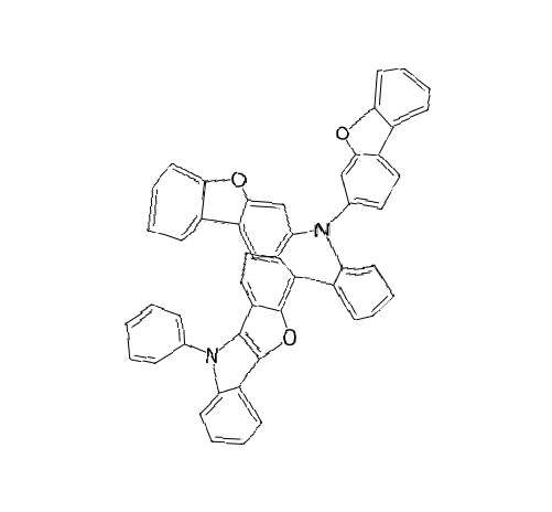 c1ccc(-n2c3ccccc3c3oc4c(-c5ccccc5N(c5ccc6c(c5)oc5ccccc56)c5ccc6c(c5)oc5ccccc56)cccc4c32)cc1